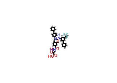 O=C(NC[C@@H](O)C(=O)O)c1ccc(CN(C(=O)Nc2cc(-c3ccccc3)cc(C(F)(F)F)c2)c2ccc(C3CCCCC3)cc2)cc1